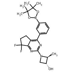 C[C@H]1[C@H](O)CN1c1nc(-c2cccc(B3OC(C)(C)C(C)(C)O3)c2)c2c(n1)C(F)(F)CC2